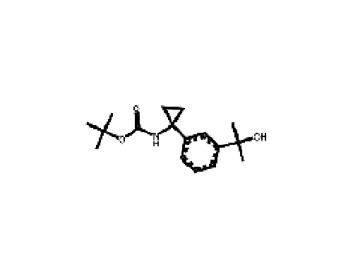 CC(C)(C)OC(=O)NC1(c2cccc(C(C)(C)O)c2)CC1